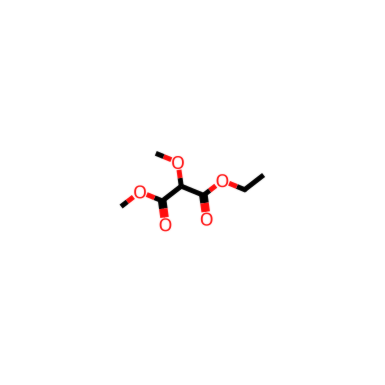 CCOC(=O)C(OC)C(=O)OC